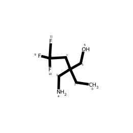 CCC(CN)(CO)CC(F)(F)F